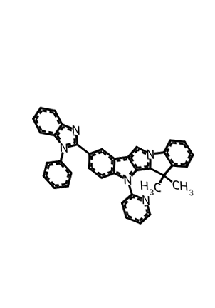 CC1(C)c2ccccc2-n2cc3c4cc(-c5nc6ccccc6n5-c5ccccc5)ccc4n(-c4ccccn4)c3c21